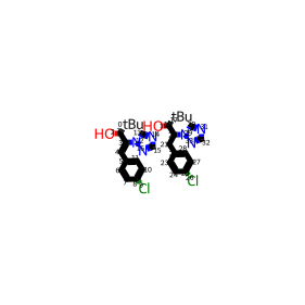 CC(C)(C)C(O)C(=Cc1ccc(Cl)cc1)n1cncn1.CC(C)(C)C(O)C(Cc1ccc(Cl)cc1)n1cncn1